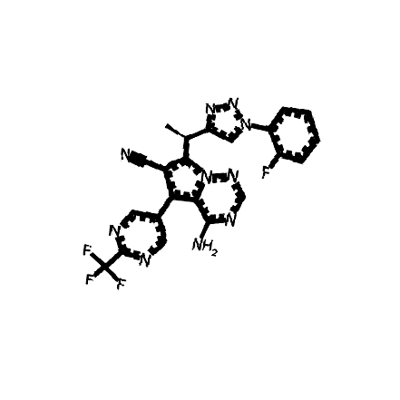 C[C@@H](c1cn(-c2ccccc2F)nn1)c1c(C#N)c(-c2cnc(C(F)(F)F)nc2)c2c(N)ncnn12